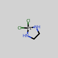 [Cl][Pt]1([Cl])[NH]CC[NH]1